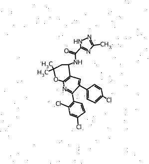 Cc1n[nH]c(C(=O)NC2CC(C)(C)Oc3nc(-c4ccc(Cl)cc4Cl)c(-c4ccc(Cl)cc4)cc32)n1